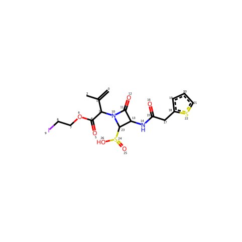 C=C(C)C(C(=O)OCCI)N1C(=O)C(NC(=O)Cc2cccs2)C1S(=O)O